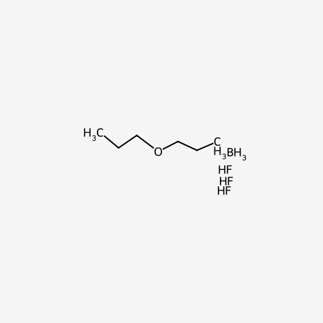 B.CCCOCCC.F.F.F